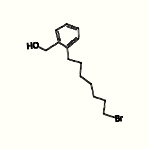 OCc1ccccc1CCCCCCCBr